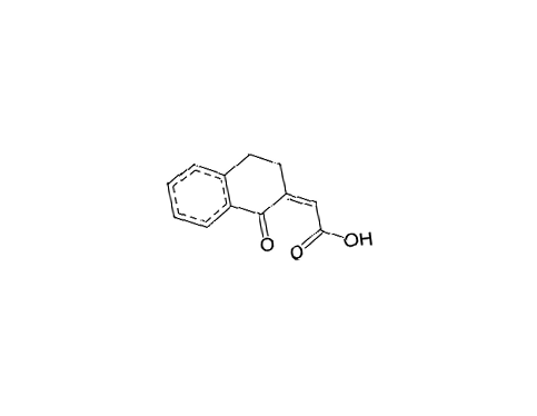 O=C(O)C=C1CCc2ccccc2C1=O